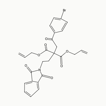 C=CCOC(=O)C(CCN1C(=O)c2ccccc2C1=O)(CC(=O)c1ccc(Br)cc1)C(=O)OCC=C